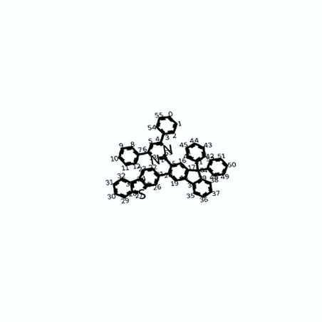 c1ccc(-c2cc(-c3ccccc3)nc(-c3cc4c(cc3-c3ccc5c(c3)sc3ccccc35)-c3ccccc3C4(c3ccccc3)c3ccccc3)n2)cc1